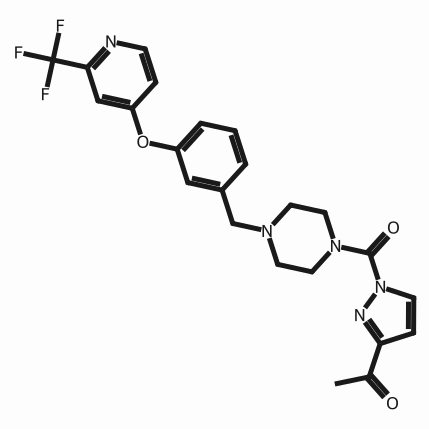 CC(=O)c1ccn(C(=O)N2CCN(Cc3cccc(Oc4ccnc(C(F)(F)F)c4)c3)CC2)n1